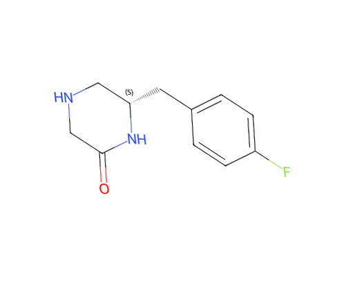 O=C1CNC[C@H](Cc2ccc(F)cc2)N1